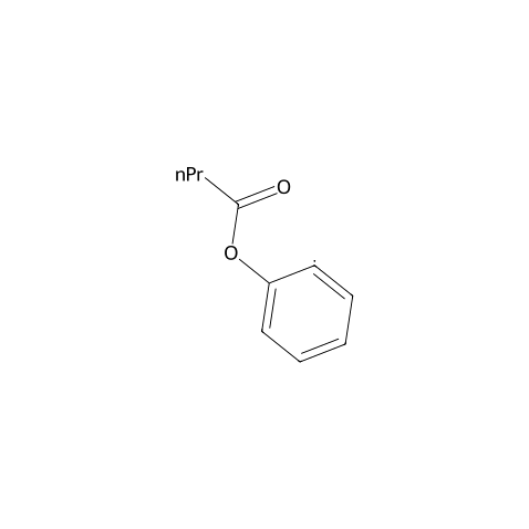 CCCC(=O)Oc1[c]cccc1